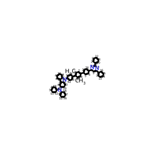 Cc1cc(-c2ccc(-c3cc(-c4ccccc4)nc(-c4ccccc4)n3)cc2)cc(C)c1-c1ccc(-n2c3ccccc3c3cc(N(c4ccccc4)c4ccccc4)ccc32)cc1